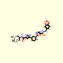 CCC(CC)NC(=O)c1cc(-c2cccc(-c3ncc(C(=O)NCc4ccc5c(c4)OCO5)o3)c2)[nH]n1